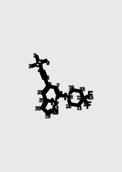 C[Si](C)(C)C#Cc1cc(N2CCC(F)(F)CC2)n2nccc2c1